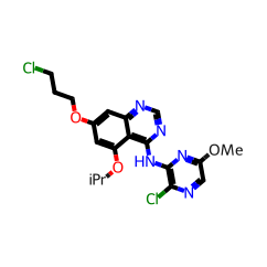 COc1cnc(Cl)c(Nc2ncnc3cc(OCCCCl)cc(OC(C)C)c23)n1